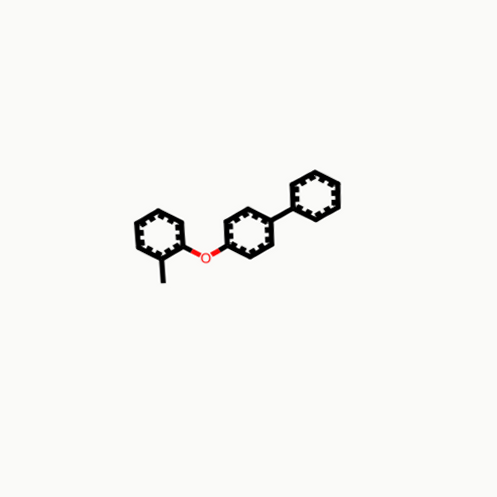 Cc1ccccc1Oc1ccc(-c2ccccc2)cc1